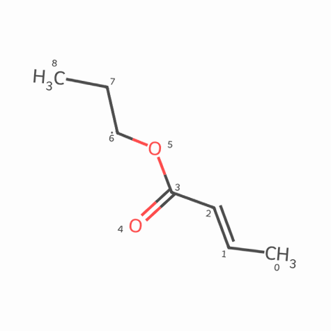 C/C=C/C(=O)O[CH]CC